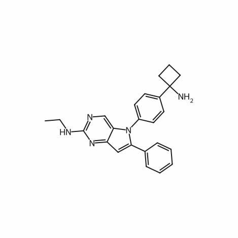 CCNc1ncc2c(cc(-c3ccccc3)n2-c2ccc(C3(N)CCC3)cc2)n1